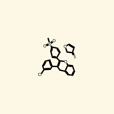 CS(=O)(=O)c1ccc(C2=C(c3cccc(Cl)c3)Cc3ccccc3O2)cc1.S=C1C=COC1